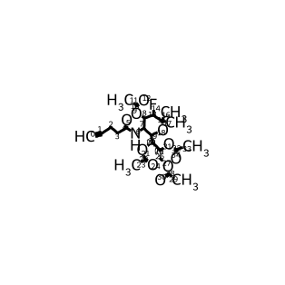 C#CCCC(=O)NC1C(OC(C)=O)C(F)C(C)(C)OC1[C@H](OC(C)=O)[C@@H](COC(C)=O)OC(C)=O